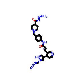 [N-]=[N+]=NCN1C=C(c2ccncc2/C=C/C(=O)Nc2ccc(CN3CCC(C(=O)N=NN)CC3)cc2)CN1